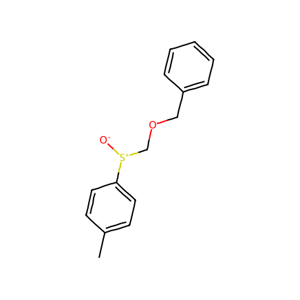 Cc1ccc([S+]([O-])COCc2ccccc2)cc1